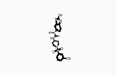 CC(C)N(C(=O)NC1CCN(S(=O)(=O)c2cccc(C#N)c2)CC1)c1ccc2nc(S)sc2c1